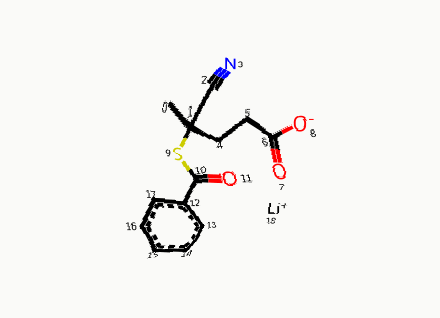 CC(C#N)(CCC(=O)[O-])SC(=O)c1ccccc1.[Li+]